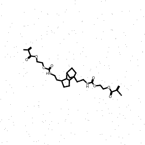 C=C(C)C(=O)OCCOC(=O)NCCC1CCC2C1C1CCC2(CCNC(=O)OCCOC(=O)C(=C)C)C1